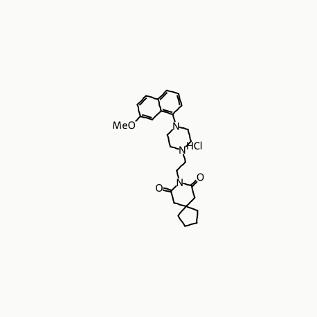 COc1ccc2cccc(N3CCN(CCN4C(=O)CC5(CCCC5)CC4=O)CC3)c2c1.Cl